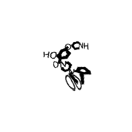 O=C(c1ccc(OC2CCNCC2)cc1O)N1CCC(N2C(=O)OCc3ccccc32)CC1